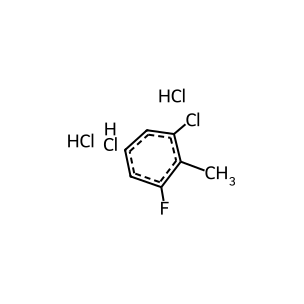 Cc1c(F)cccc1Cl.Cl.Cl.Cl